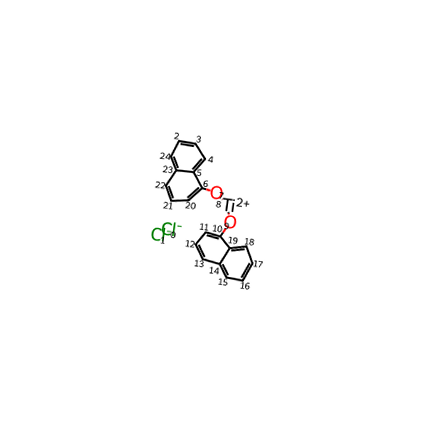 [Cl-].[Cl-].c1ccc2c([O][Ti+2][O]c3cccc4ccccc34)cccc2c1